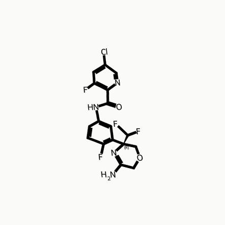 NC1=N[C@@](c2cc(NC(=O)c3ncc(Cl)cc3F)ccc2F)(C(F)F)COC1